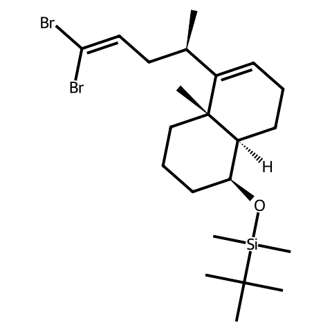 C[C@H](CC=C(Br)Br)C1=CCC[C@H]2[C@@H](O[Si](C)(C)C(C)(C)C)CCC[C@]12C